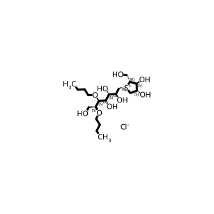 CCCCO[C@@H]([C@@H](O)[C@H](O)[C@H](O)C[S@@+]1C[C@@H](O)[C@H](O)[C@H]1CO)[C@H](CO)OCCCC.[Cl-]